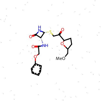 COCC1CCC(C(=O)CS[C@H]2NC(=O)[C@H]2NC(=O)COc2ccccc2)O1